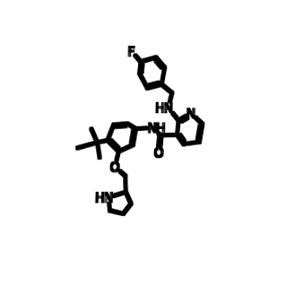 CC(C)(C)c1ccc(NC(=O)c2cccnc2NCc2ccc(F)cc2)cc1OCC1CCCN1